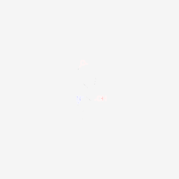 CC1(C)OC(C)(C)c2cc(-c3ncc(Br)cc3O)ccc21